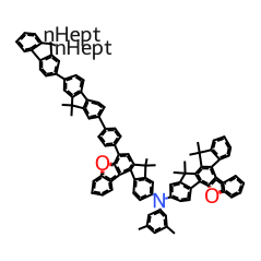 CCCCCCCC1(CCCCCCC)c2ccccc2-c2ccc(-c3ccc4c(c3)C(C)(C)c3cc(-c5ccc(-c6cc7c(c8c6oc6ccccc68)-c6ccc(N(c8cc(C)cc(C)c8)c8ccc9c(c8)C(C)(C)c8c%10c(c%11c(oc%12ccccc%12%11)c8-9)-c8ccccc8C%10(C)C)cc6C7(C)C)cc5)ccc3-4)cc21